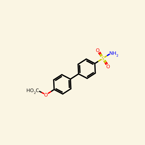 NS(=O)(=O)c1ccc(-c2ccc(OC(=O)O)cc2)cc1